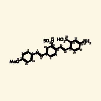 COc1ccc(/N=N/c2ccc(/C=C/c3ccc(N)cc3S(=O)(=O)O)c(S(=O)(=O)O)c2)cc1